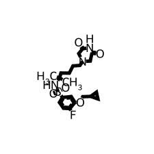 CC(C)(CCCCN1CC(=O)NC(=O)C1)NS(=O)(=O)c1ccc(F)c(OCC2CC2)c1